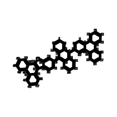 c1ccc2c(-c3ccc4c5ccccc5c5ccccc5c4c3)c3ccccc3c(-c3ccc4c(c3)oc3c5ccccc5c5ccccc5c43)c2c1